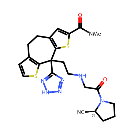 CNC(=O)c1cc2c(s1)C(CCNCC(=O)N1CCC[C@H]1C#N)(c1nn[nH]n1)c1sccc1CC2